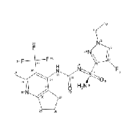 CCn1cc(F)c([S@](N)(=O)=NC(=O)Nc2c3c(nc(C)c2C(F)(F)F)CCC3)n1